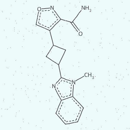 Cn1c(C2CC(c3conc3C(N)=O)C2)nc2ccccc21